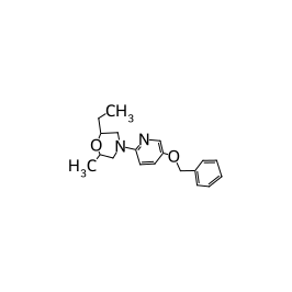 CCC1CN(c2ccc(OCc3ccccc3)cn2)CC(C)O1